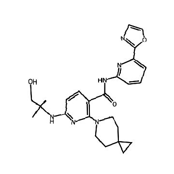 CC(C)(CO)Nc1ccc(C(=O)Nc2cccc(-c3ncco3)n2)c(N2CCC3(CC2)CC3)n1